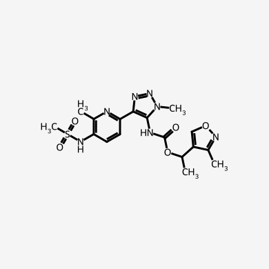 Cc1nc(-c2nnn(C)c2NC(=O)OC(C)c2conc2C)ccc1NS(C)(=O)=O